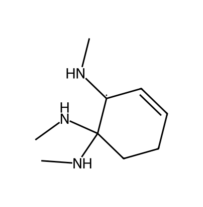 CN[C]1C=CCCC1(NC)NC